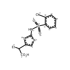 CCC(C(=O)O)c1cnc(NS(=O)(=O)c2ccccc2Cl)s1